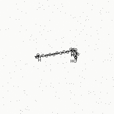 CC(C)C(NC(=O)CCOCCOCCOCCOCCOCCOCCOCCOCCNC(=O)OC(C)(C)C)C(=O)N[C@@H](C)C(=O)Nc1ccc(CO)cc1